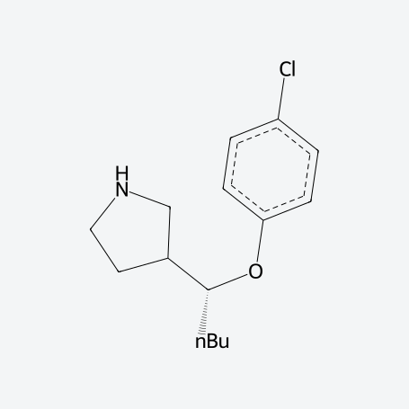 CCCC[C@@H](Oc1ccc(Cl)cc1)C1CCNC1